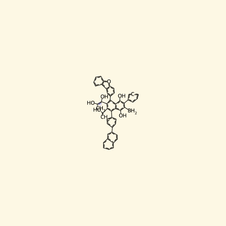 Bc1c(-c2ccccc2)c(O)c2c(-c3ccc4oc5ccccc5c4c3)c(/C(O)=C(\C)O)c(C(=C)O)c(-c3ccc(-c4ccc5ccccc5c4)cc3)c2c1O